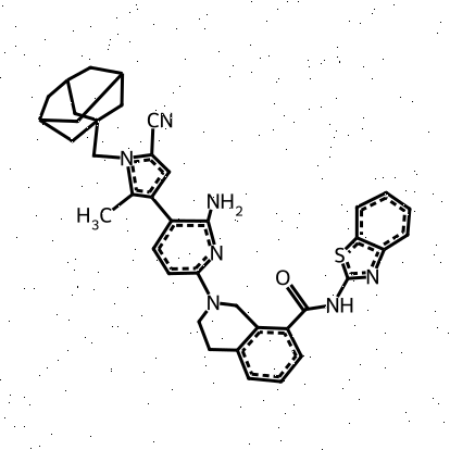 Cc1c(-c2ccc(N3CCc4cccc(C(=O)Nc5nc6ccccc6s5)c4C3)nc2N)cc(C#N)n1CC12CC3CC(CC(C3)C1)C2